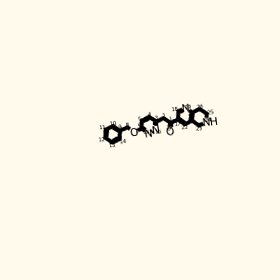 O=C(Cc1ccc(OCc2ccccc2)nn1)c1cnc2c(c1)CNCC2